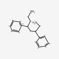 NCCC(CC(CN)c1ccccc1)c1ccccc1